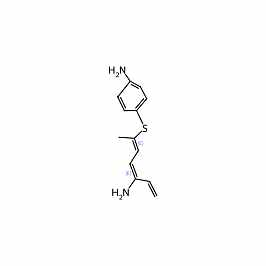 C=C/C(N)=C\C=C(/C)Sc1ccc(N)cc1